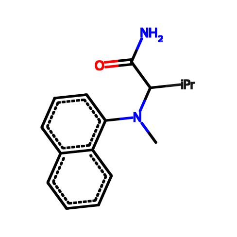 CC(C)C(C(N)=O)N(C)c1cccc2ccccc12